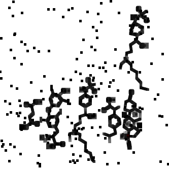 C#C[C@]1(O)CC[C@H]2[C@@H]3CCC4=CC(=O)CC[C@@H]4[C@H]3CC[C@@]21CC.CC(C)Cc1ccc(C(C)C(=O)O)cc1.CCCCCCCN(CC)CCCC(O)c1ccc(NS(C)(=O)=O)cc1.CCCCCCCN(CC)CCCC(O)c1ccc(NS(C)(=O)=O)cc1.N[C@@H](Cc1cc(I)c(Oc2cc(I)c(O)c(I)c2)c(I)c1)C(=O)O.O=C(O)/C=C/C(=O)O